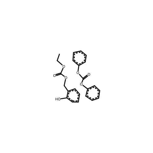 CCOC(=O)OCc1ccccc1O.O=C(Oc1ccccc1)Oc1ccccc1